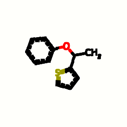 C[C](Oc1ccccc1)c1cccs1